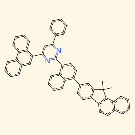 CC1(C)c2cc(-c3ccc(-c4nc(-c5ccccc5)cc(-c5cc6ccccc6c6ccccc56)n4)c4ccccc34)ccc2-c2ccc3ccccc3c21